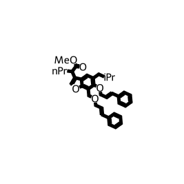 CCCC(C(=O)OC)c1coc2c(COC/C=C/c3ccccc3)c(OC/C=C/c3ccccc3)c(CC(C)C)cc12